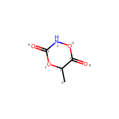 CC1OC(=O)NOC1=O